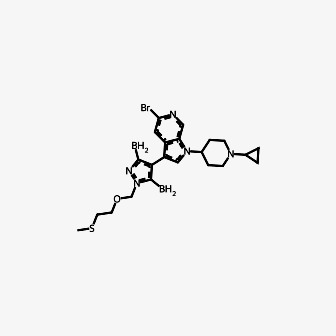 Bc1nn(COCCSC)c(B)c1-c1cn(C2CCN(C3CC3)CC2)c2cnc(Br)cc12